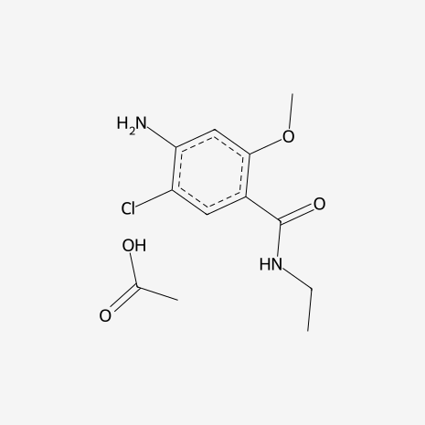 CC(=O)O.CCNC(=O)c1cc(Cl)c(N)cc1OC